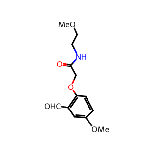 COCCNC(=O)COc1ccc(OC)cc1C=O